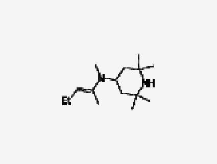 CC/C=C(\C)N(C)C1CC(C)(C)NC(C)(C)C1